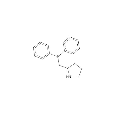 c1ccc(P(CC2CCCN2)c2ccccc2)cc1